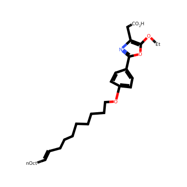 CCCCCCCCC=CCCCCCCCCOc1ccc(-c2nc(CC(=O)O)c(OCC)o2)cc1